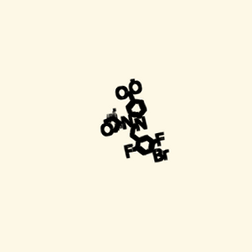 COC(=O)c1ccc2nc(Cc3cc(F)c(Br)cc3F)n([C@@H]3COC[C@@H]3C)c2c1